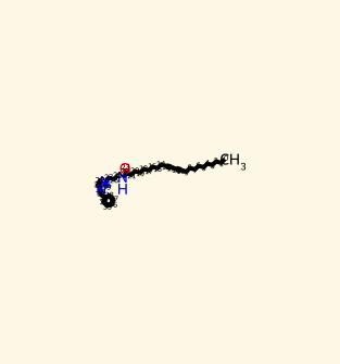 CCCCCCCCCCC#CC#CCCCCCCCCC(=O)NCCCn1cc[n+](Cc2ccccc2)c1